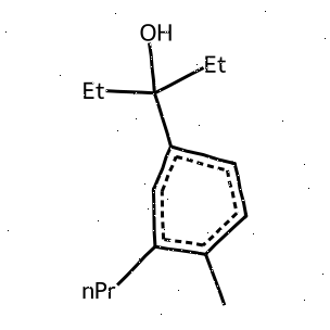 CCCc1cc(C(O)(CC)CC)ccc1C